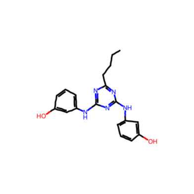 CCCCc1nc(Nc2cccc(O)c2)nc(Nc2cccc(O)c2)n1